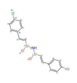 [O-][S+](C=Cc1ccc(Cl)cc1)N[S+]([O-])C=Cc1ccc(Cl)cc1